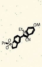 CCCS(=O)(=O)N1CCc2cc(-c3c(C#N)c4ccc(OC)cc4n3CC)ccc21